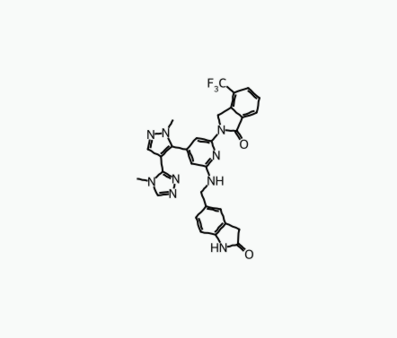 Cn1cnnc1-c1cnn(C)c1-c1cc(NCc2ccc3c(c2)CC(=O)N3)nc(N2Cc3c(cccc3C(F)(F)F)C2=O)c1